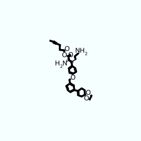 CC#CCCC(=O)OC(=O)[C@@H](N)[C@@H](CCCN)c1ccc(OCc2cccc(C3=CCC4(CC3)OCCO4)c2)cc1